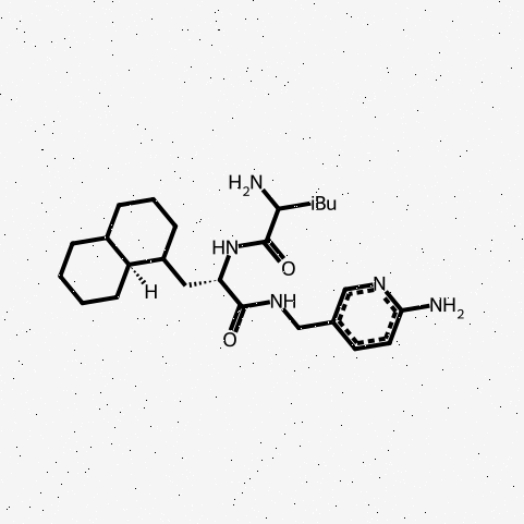 CCC(C)C(N)C(=O)N[C@@H](CC1CCCC2CCCC[C@@H]21)C(=O)NCc1ccc(N)nc1